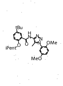 CCCC(C)Oc1ccc(C(C)(C)C)cc1C(=O)Nc1nnn(-c2cc(OC)ccc2OC)c1C